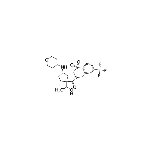 C[C@H](O)[C@]1(C(=O)N2Cc3cc(C(F)(F)F)ccc3S(=O)(=O)C2)CC[C@@H](NC2CCOCC2)C1